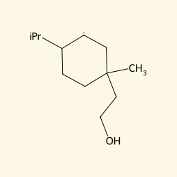 CC(C)C1[CH]CC(C)(CCO)CC1